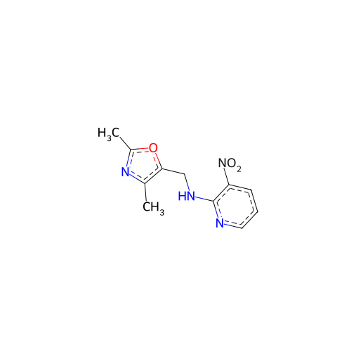 Cc1nc(C)c(CNc2ncccc2[N+](=O)[O-])o1